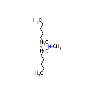 CCCCCCSCCCCCC.CN(C)C